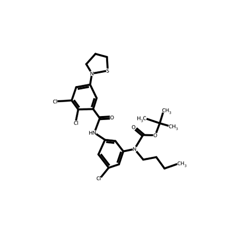 CCCCN(C(=O)OC(C)(C)C)c1cc(Cl)cc(NC(=O)c2cc(N3CCCS3)cc(Cl)c2Cl)c1